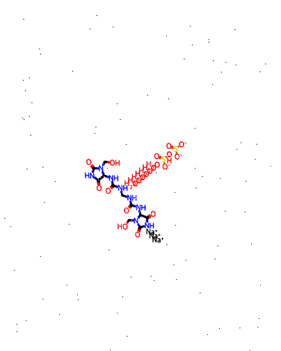 O.O.O.O.O.O.O.O=C(NCNC(=O)NC1C(=O)NC(=O)N1CO)NC1C(=O)NC(=O)N1CO.O=S([O-])O.O=S([O-])[O-].[Na+].[Na+].[Na+]